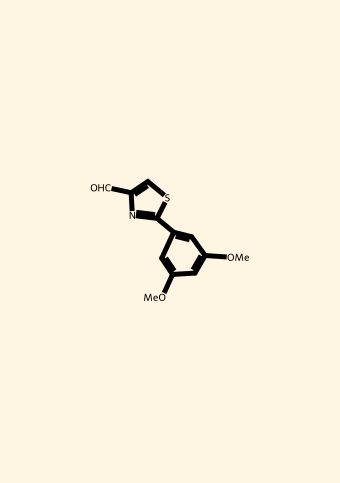 COc1cc(OC)cc(-c2nc(C=O)cs2)c1